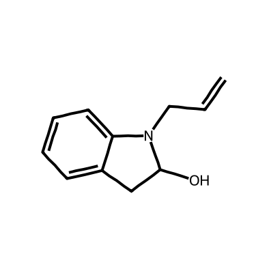 C=CCN1c2ccccc2CC1O